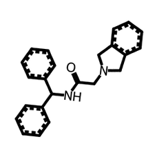 O=C(CN1Cc2ccccc2C1)NC(c1ccccc1)c1ccccc1